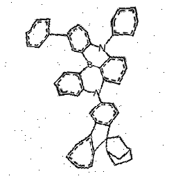 c1ccc(-c2ccc3c(c2)B2c4ccccc4N(c4ccc5c(c4)-c4ccccc4C54CC5CCC4C5)c4cccc(c42)N3c2ccccc2)cc1